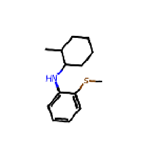 CSc1ccccc1NC1CCCCC1C